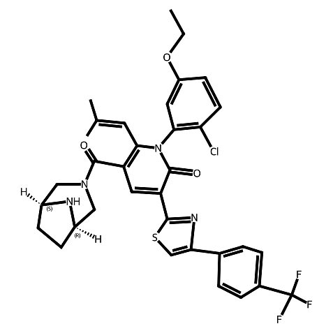 CCOc1ccc(Cl)c(-n2c(C=C(C)C)c(C(=O)N3C[C@H]4CC[C@@H](C3)N4)cc(-c3nc(-c4ccc(C(F)(F)F)cc4)cs3)c2=O)c1